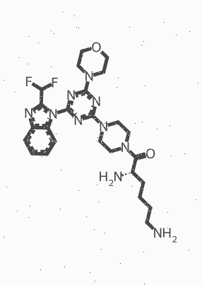 NCCCC[C@H](N)C(=O)N1CCN(c2nc(N3CCOCC3)nc(-n3c(C(F)F)nc4ccccc43)n2)CC1